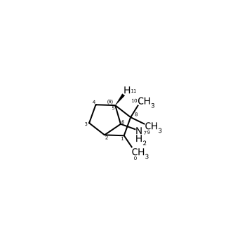 CC1C2CC[C@@H](C2N)C1(C)C